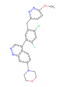 COc1ccc(Cc2cc(-c3cnnc4cc(N5CCOCC5)ccc34)c(F)cc2Cl)nn1